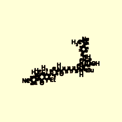 CCc1cc2c(cc1N1CCC(NC(=O)CCCCCCC(=O)NC(C(=O)N3C[C@H](O)C[C@H]3C(=O)NCc3ccc(-c4scnc4C)cc3)C(C)(C)C)CC1)C(C)(C)c1[nH]c3cc(C#N)ccc3c1C2=O